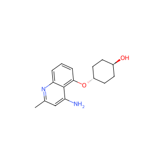 Cc1cc(N)c2c(O[C@H]3CC[C@H](O)CC3)cccc2n1